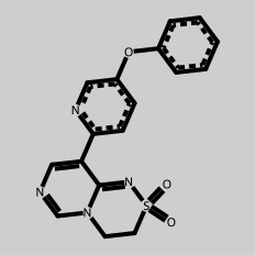 O=S1(=O)CCN2C=NC=C(c3ccc(Oc4ccccc4)cn3)C2=N1